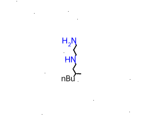 CCCCC(C)CCNCCCN